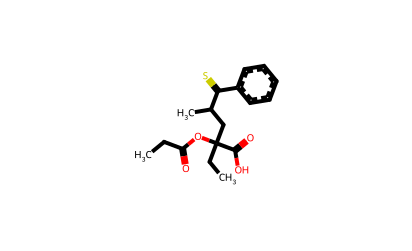 CCC(=O)OC(CC)(CC(C)C(=S)c1ccccc1)C(=O)O